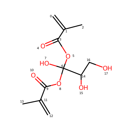 C=C(C)C(=O)OC(O)(OC(=O)C(=C)C)C(O)CO